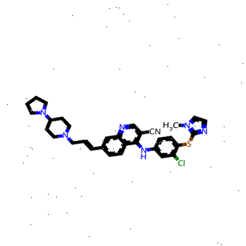 Cn1ccnc1Sc1ccc(Nc2c(C#N)cnc3cc(C=CCN4CCC(N5CCCC5)CC4)ccc23)cc1Cl